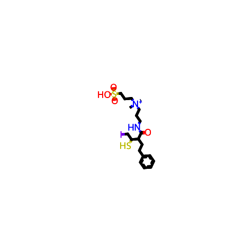 C[N+](C)(CCCNC(=O)C(CCc1ccccc1)C(S)CI)CCCS(=O)(=O)O